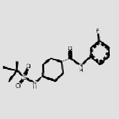 CC(C)(C)S(=O)(=O)N[C@H]1CC[C@H](C(=O)Nc2cccc(F)c2)CC1